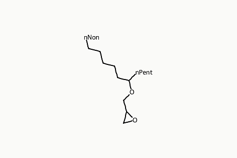 CCCCCCCCCCCCCCC(CCCCC)OCC1CO1